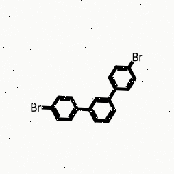 Brc1ccc(-c2[c]c(-c3ccc(Br)cc3)ccc2)cc1